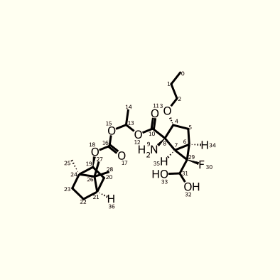 CCCO[C@@H]1C[C@@H]2[C@H]([C@]1(N)C(=O)OC(C)OC(=O)O[C@H]1C[C@H]3CC[C@]1(C)C3(C)C)[C@@]2(F)C(O)O